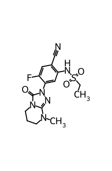 CCS(=O)(=O)Nc1cc(-n2nc3n(c2=O)CCCN3C)c(F)cc1C#N